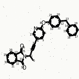 CC(C#Cc1ccc(Oc2ccc(Cc3ccccc3)cc2)nc1)N1C(=O)c2ccccc2C1=O